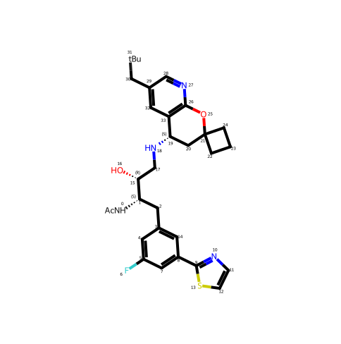 CC(=O)N[C@@H](Cc1cc(F)cc(-c2nccs2)c1)[C@H](O)CN[C@H]1CC2(CCC2)Oc2ncc(CC(C)(C)C)cc21